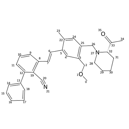 COCc1cc(/C=C/c2cccc(-c3ccccc3)c2C#N)c(C)cc1CN1CCCC[C@H]1C(C)=O